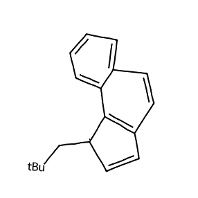 CC(C)(C)C[C]1C=Cc2ccc3ccccc3c21